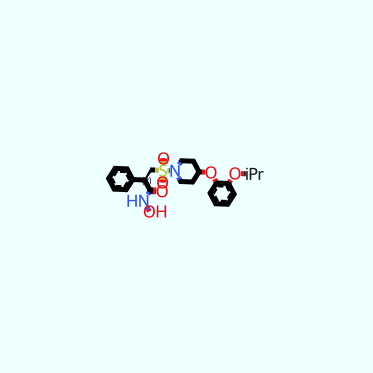 CC(C)Oc1ccccc1OC1CCN(S(=O)(=O)C[C@@H](C(=O)NO)c2ccccc2)CC1